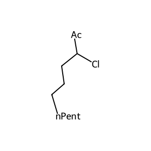 CCCCCCCCC(Cl)C(C)=O